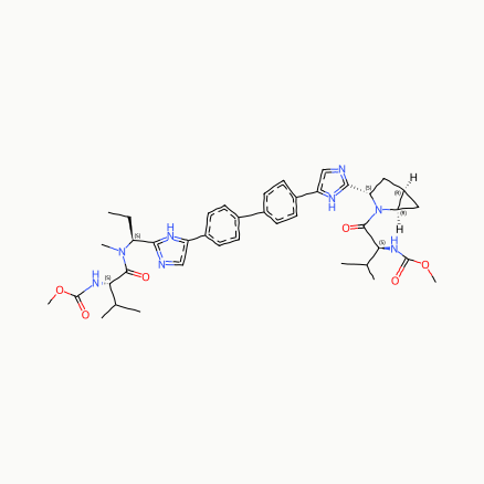 CC[C@@H](c1ncc(-c2ccc(-c3ccc(-c4cnc([C@@H]5C[C@H]6C[C@H]6N5C(=O)[C@@H](NC(=O)OC)C(C)C)[nH]4)cc3)cc2)[nH]1)N(C)C(=O)[C@@H](NC(=O)OC)C(C)C